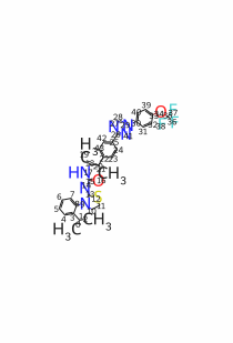 CC(C)c1ccccc1N1CCS/C1=N\C(=O)NC(C)C(C)c1ccc(-c2ncn(-c3ccc(OC(F)(F)F)cc3)n2)cc1